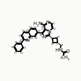 CC(=O)NC[C@H]1C[C@@H](c2nc(-c3ccc4ccc(-c5ccccc5)nc4c3)c3c(N)nccn32)C1